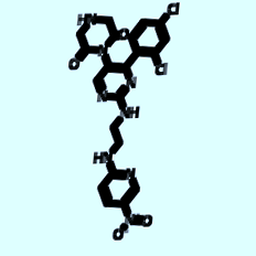 O=C1CNCC(=O)N1c1cnc(NCCNc2ccc([N+](=O)[O-])cn2)nc1-c1ccc(Cl)cc1Cl